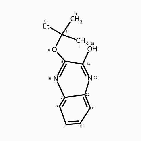 CCC(C)(C)Oc1nc2ccccc2nc1O